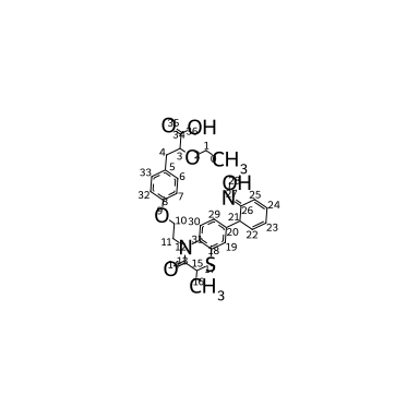 CCOC(Cc1ccc(OCCN2C(=O)C(C)Sc3cc(C4C=CC=CC4=NO)ccc32)cc1)C(=O)O